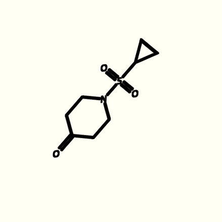 O=C1CCN(S(=O)(=O)C2CC2)CC1